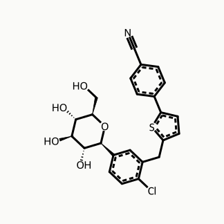 N#Cc1ccc(-c2ccc(Cc3cc([C@@H]4O[C@H](CO)[C@@H](O)[C@H](O)[C@H]4O)ccc3Cl)s2)cc1